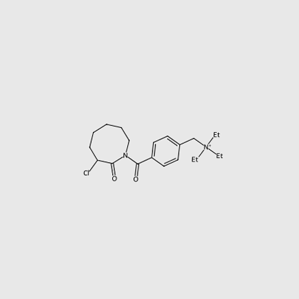 CC[N+](CC)(CC)Cc1ccc(C(=O)N2CCCCCC(Cl)C2=O)cc1